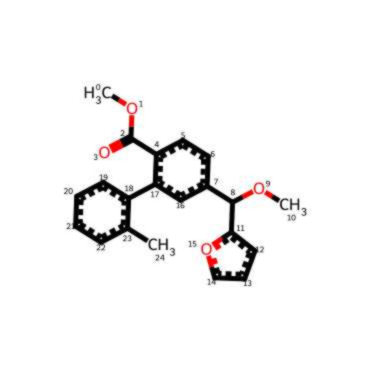 COC(=O)c1ccc(C(OC)c2ccco2)cc1-c1ccccc1C